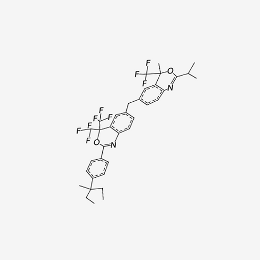 CCC(C)(CC)c1ccc(C2=Nc3ccc(Cc4ccc5c(c4)C(C)(C(F)(F)F)OC(C(C)C)=N5)cc3C(C(F)(F)F)(C(F)(F)F)O2)cc1